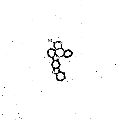 N#CC1=CCC(c2ccccc2-n2c3ccccc3c3cc4oc5ccccc5c4cc32)N=C1